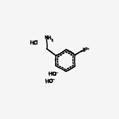 Cl.[B+2]c1cccc(CN)c1.[OH-].[OH-]